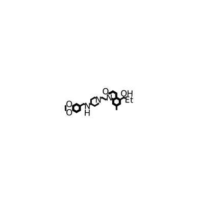 CCC(O)c1cc(C)cc2c1ccc(=O)n2CCN1CCC(NCc2ccc3c(c2)OCCO3)CC1